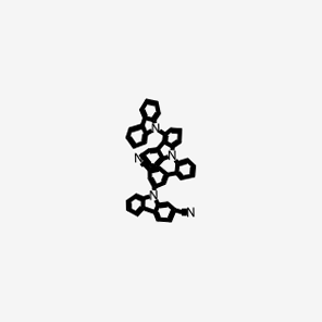 N#Cc1cc(-c2ccccc2-n2c3ccccc3c3c(-n4c5ccccc5c5ccccc54)cccc32)cc(-n2c3ccccc3c3ccc(C#N)cc32)c1